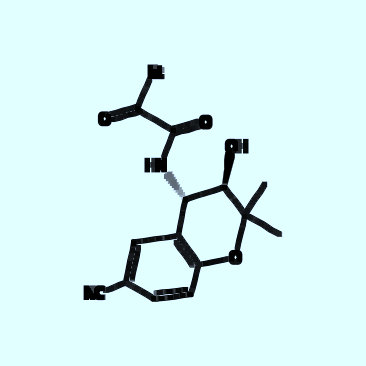 CCC(=O)C(=O)N[C@H]1c2cc(C#N)ccc2OC(C)(C)[C@@H]1O